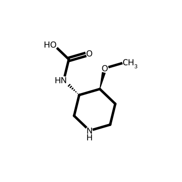 CO[C@H]1CCNC[C@@H]1NC(=O)O